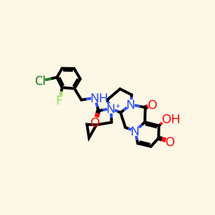 O=C1c2c(O)c(=O)ccn2CC2N1CCC[N+]2(CC1CC1)C(=O)NCc1cccc(Cl)c1F